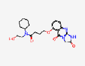 O=C1Cn2c(nc3cccc(OCCCC(=O)N(CCO)C4CCCCC4)c3c2=O)N1